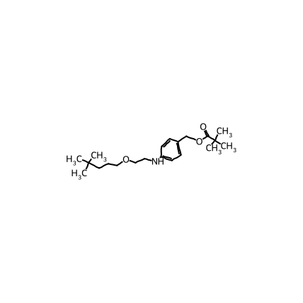 CC(C)(C)CCCOCCNc1ccc(COC(=O)C(C)(C)C)cc1